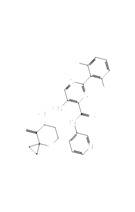 C=C1[C@H](O)C[C@H](c2ccncc2NC(=O)c2nc(-c3c(F)cccc3F)ncc2N)OC12CC2